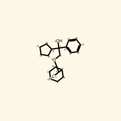 OC(COC1CN2CCC1CC2)(c1ccccc1)C1CCCC1